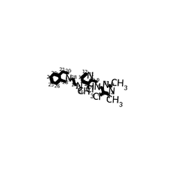 Cc1nc(C)c(Cl)c(NCc2nccc(N(C)CCN3CCc4ccccc4C3)c2Cl)n1